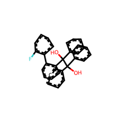 OC(c1ccccc1)(c1ccccc1)C(O)(c1ccccc1)c1ccccc1-c1ccccc1F